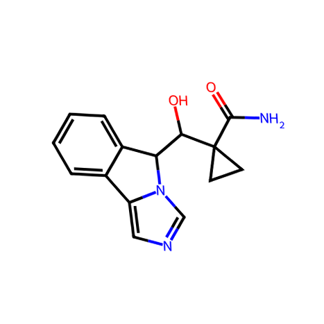 NC(=O)C1(C(O)C2c3ccccc3-c3cncn32)CC1